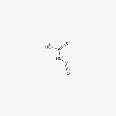 O=CN[P](O)=S